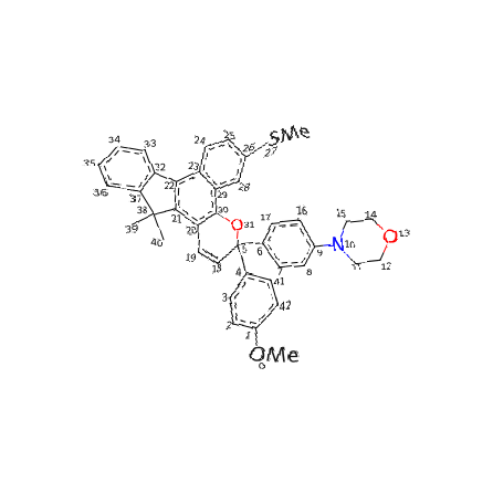 COc1ccc(C2(c3ccc(N4CCOCC4)cc3)C=Cc3c4c(c5ccc(SC)cc5c3O2)-c2ccccc2C4(C)C)cc1